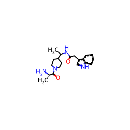 CC(NC(=O)Cc1c[nH]c2ccccc12)C1CCN(C(=O)[C@H](C)N)CC1